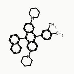 Cc1ccc(-c2c3cc(N4CCCCC4)ccc3c(-c3cccc4ccccc34)c3cc(N4CCCCC4)ccc23)cc1C